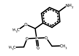 CCOP(=O)(OCC)C(OC)c1ccc(N)cc1